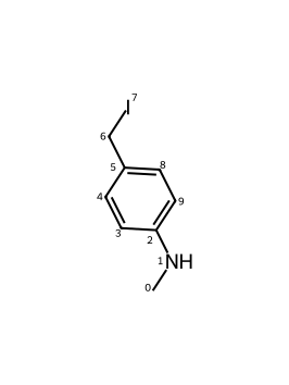 CNc1ccc(CI)cc1